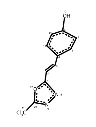 Oc1ccc(/C=C/c2nnc(C(Cl)(Cl)Cl)o2)cc1